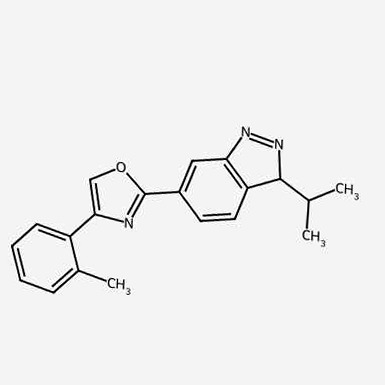 Cc1ccccc1-c1coc(-c2ccc3c(c2)N=NC3C(C)C)n1